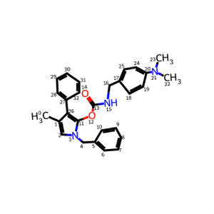 Cc1cn(Cc2ccccc2)c(OC(=O)NCc2ccc(N(C)C)cc2)c1-c1ccccc1